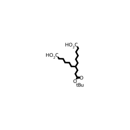 CC(C)(C)OC(=O)CCC(CCCCCC(=O)O)CCCCCC(=O)O